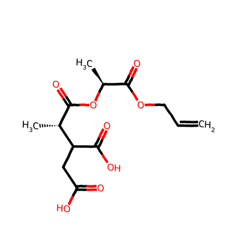 C=CCOC(=O)[C@H](C)OC(=O)[C@@H](C)C(CC(=O)O)C(=O)O